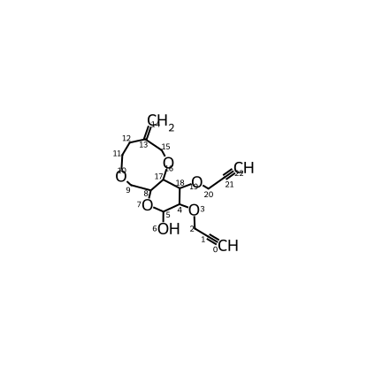 C#CCOC1C(O)OC2COCCC(=C)COC2C1OCC#C